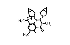 Cc1cc(C(C)O)c2c(c1F)C(=O)N(C)C(N1CC3CC3C1)N2N1CC2CC2C1